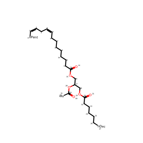 CCCCC/C=C\C/C=C\CCCCCCCC(=O)OCC(COC(=O)CCCCCCCCCCCCCCC)OC(=O)C(C)CC